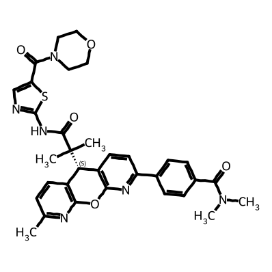 Cc1ccc2c(n1)Oc1nc(-c3ccc(C(=O)N(C)C)cc3)ccc1[C@H]2C(C)(C)C(=O)Nc1ncc(C(=O)N2CCOCC2)s1